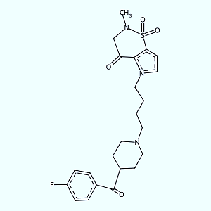 CN1CC(=O)c2c(ccn2CCCCN2CCC(C(=O)c3ccc(F)cc3)CC2)S1(=O)=O